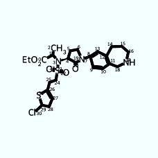 CCOC(=O)C(C)N([C@H]1CCN(c2ccc3c(c2)CCCNC3)C1=O)S(=O)(=O)CCC1=CCC(Cl)S1